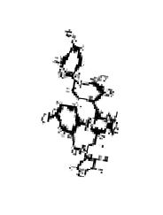 Fc1ccc(N2CCC(c3nnc4n3-c3ccc(Cl)cc3CN([C@H]3CCOC3)C4)CC2)nc1